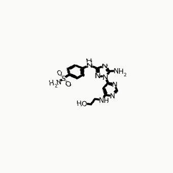 Nc1nc(Nc2ccc(S(N)(=O)=O)cc2)nn1-c1cc(NCCO)ncn1